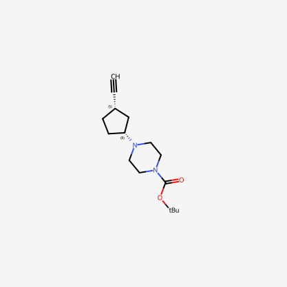 C#C[C@H]1CC[C@@H](N2CCN(C(=O)OC(C)(C)C)CC2)C1